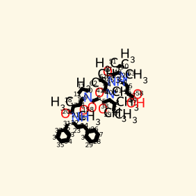 CC[C@H](C)[C@@H]([C@@H](CC(=O)N1CCC[C@H]1[C@H](OC)[C@@H](C)C(=O)N[C@H](/C=C/c1ccccc1)Cc1ccccc1)OC)N(C)C(=O)[C@@H](NC(=O)[C@H](C(C)C)N(C)CCCC(=O)O)C(C)C